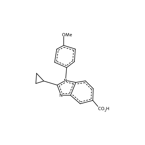 COc1ccc(-n2c(C3CC3)nc3cc(C(=O)O)ccc32)cc1